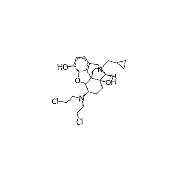 Oc1ccc2c3c1OC1[C@H](N(CCCl)CCCl)CC[C@@]4(O)[C@@H](C2)N(CC2CC2)CC[C@]314